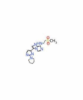 CS(=O)(=O)CCNc1nccn2c(-c3ccnc(N4CCCCC4)n3)cnc12